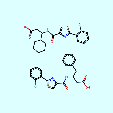 O=C(O)CC(Cc1ccccc1)NC(=O)c1csc(-c2ccccc2Cl)n1.O=C(O)CC(NC(=O)c1csc(-c2ccccc2Cl)n1)C1CCCCC1